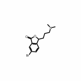 CN(C)CCCC1OC(=O)c2cc(Br)ccc21